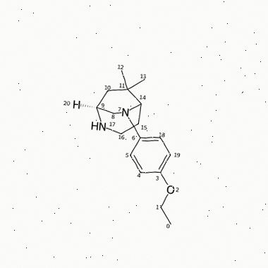 CCOc1ccc(N2C[C@@H]3CC(C)(C)C2CCN3)cc1